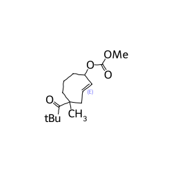 COC(=O)OC1/C=C/CC(C)(C(=O)C(C)(C)C)CCC1